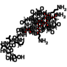 CC[C@H](C)[C@H](NC(=O)[C@H](CO)NC(=O)CNC(=O)CNC(=O)CNC(=O)CNC(=O)[C@H](CCCCN)NC(=O)[C@H](C)NC(=O)[C@H](C)NC(=O)[C@H](C)NC(=O)[C@H](CCC(=O)O)NC(=O)[C@H](CCCCN)NC(=O)[C@H](C)NC(=O)[C@H](C)NC(=O)[C@H](C)NC(=O)[C@H](CCC(=O)O)NC(=O)[C@H](CCCCN)NC(=O)[C@H](C)NC(=O)[C@H](C)NC(=O)[C@H](C)N)C(=O)N[C@H](C(=O)N[C@H](C(=O)N[C@@H](CO)C(=O)NCC(=O)O)C(C)C)C(C)C